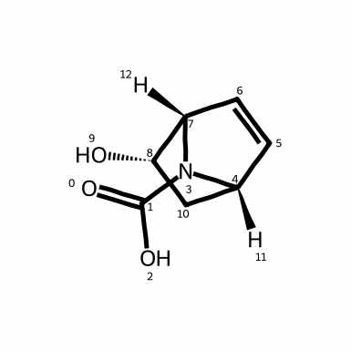 O=C(O)N1[C@@H]2C=C[C@H]1[C@@H](O)C2